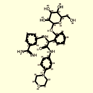 N=C(N)c1cccc(NC(C(=O)Nc2ccc(N3CCOCC3)cc2)c2ccccc2OC2OC(CO)C(O)C(O)C2O)c1